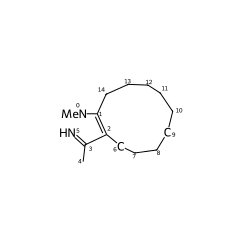 CN/C1=C(\C(C)=N)CCCCCCCCC1